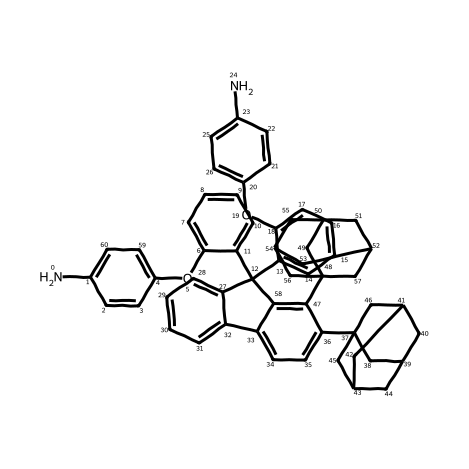 Nc1ccc(Oc2ccccc2C2(c3ccccc3Oc3ccc(N)cc3)c3ccccc3-c3ccc(C45CC6CC(CC(C6)C4)C5)c(C45CC6CC(CC(C6)C4)C5)c32)cc1